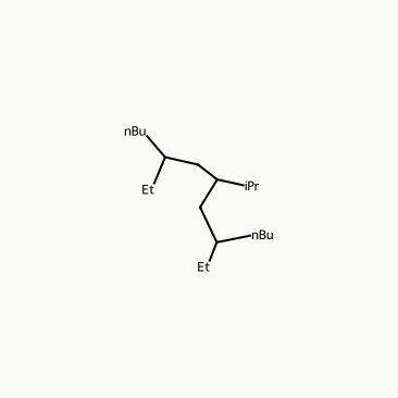 CCCCC(CC)C[C](CC(CC)CCCC)C(C)C